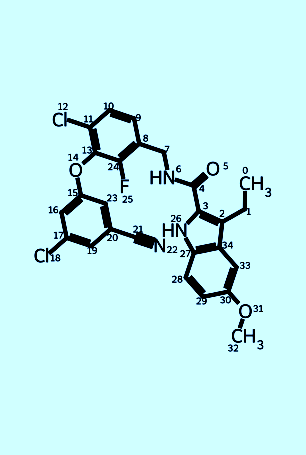 CCc1c(C(=O)NCc2ccc(Cl)c(Oc3cc(Cl)cc(C#N)c3)c2F)[nH]c2ccc(OC)cc12